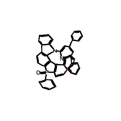 O=P1(c2ccccc2)c2ccc3ccccc3c2-c2c1ccc1c3ccccc3n(-c3cc(-c4ccccc4)cc(-c4ccccc4)n3)c21